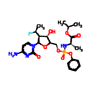 CC(C)OC(=O)[C@H](C)NP(=O)(OCC1OC(n2ccc(N)nc2=O)[C@@H]([C@H](C)F)[C@@H]1O)Oc1ccccc1